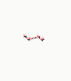 CC(=O)C(C)COCC(C)C(=O)OCCOCCOC(=O)C(C)COCC(C)C(C)=O